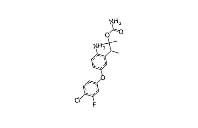 CC(c1cc(Oc2ccc(Cl)c(F)c2)ccc1N)C(C)(C)OC(N)=O